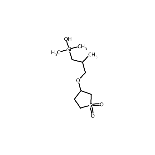 CC(COC1CCS(=O)(=O)C1)C[Si](C)(C)O